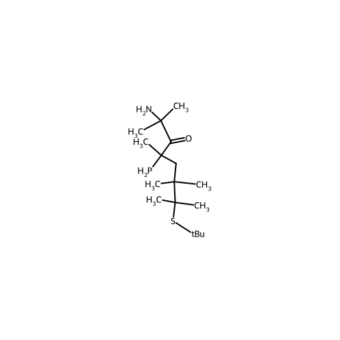 CC(C)(C)SC(C)(C)C(C)(C)CC(C)(P)C(=O)C(C)(C)N